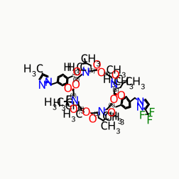 Cc1cnn(Cc2ccc(C[C@H]3OC(=O)[C@H](CC(C)C)N(C)C(=O)[C@@H](C)OC(=O)[C@H](CC(C)C)N(C)C(=O)[C@@H](Cc4ccc(Cn5ccc(C(F)(F)F)n5)cc4)OC(=O)[C@H](CC(C)C)N(C)C(=O)[C@@H](C)OC(=O)[C@H](CC(C)C)N(C)C3=O)cc2)c1